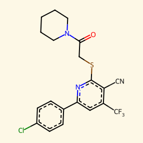 N#Cc1c(C(F)(F)F)cc(-c2ccc(Cl)cc2)nc1SCC(=O)N1CCCCC1